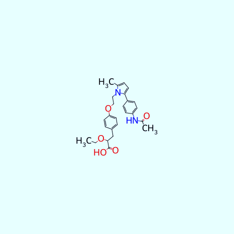 CCOC(Cc1ccc(OCCn2c(C)ccc2-c2ccc(NC(C)=O)cc2)cc1)C(=O)O